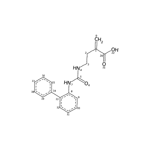 C=C(CCNC(=O)Nc1ccccc1-c1ccccc1)C(=O)O